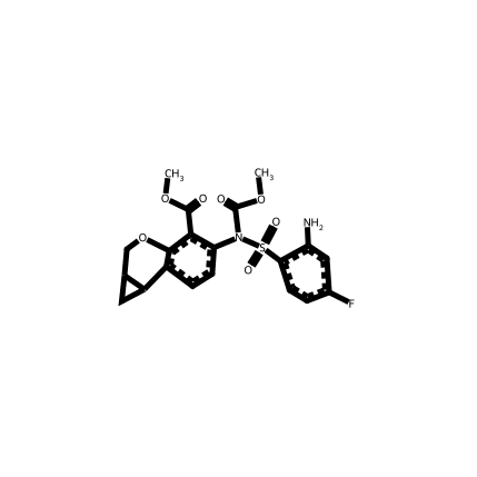 COC(=O)c1c(N(C(=O)OC)S(=O)(=O)c2ccc(F)cc2N)ccc2c1OCC1CC21